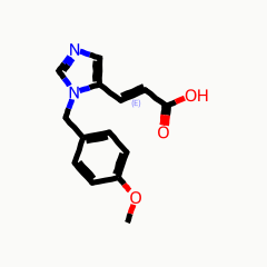 COc1ccc(Cn2cncc2/C=C/C(=O)O)cc1